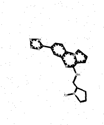 CCN1CCCC1CNc1nc2cc(-c3nnn[nH]3)ccc2n2cccc12